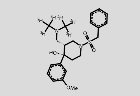 [2H]C([2H])([2H])N(C[C@@H]1CN(S(=O)(=O)Cc2ccccc2)CC[C@@]1(O)c1cccc(OC)c1)C([2H])([2H])[2H]